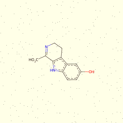 O=C(O)C1=NCCc2c1[nH]c1ccc(O)cc21